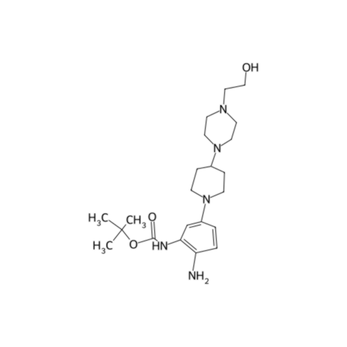 CC(C)(C)OC(=O)Nc1cc(N2CCC(N3CCN(CCO)CC3)CC2)ccc1N